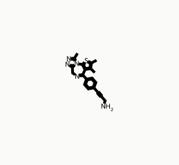 Cc1sc2c(c1C)C(c1ccc(C#CCN)cc1)=NCc1nnc(C)n1-2